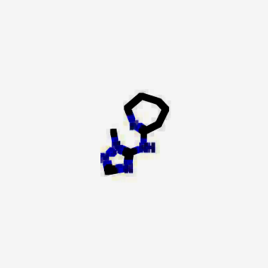 Cn1ncnc1NC1=NCCCCC1